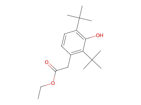 CCOC(=O)Cc1ccc(C(C)(C)C)c(O)c1C(C)(C)C